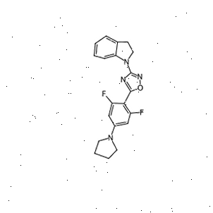 Fc1cc(N2CCCC2)cc(F)c1-c1nc(N2CCc3ccccc32)no1